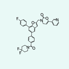 O=C1OC(c2cccnc2)=CCN1Cc1cc2cc(-c3ccc(C(=O)N4CCC(F)(F)CC4)cc3)cc(-c3ccc(F)cc3)c2o1